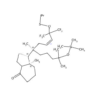 CC(C)SOC(/C=C\C[C@@](C)(CCCC(C)(C)O[Si](C)(C)C)[C@H]1CCC2C(=O)CCC[C@@]21C)(C(F)(F)F)C(F)(F)F